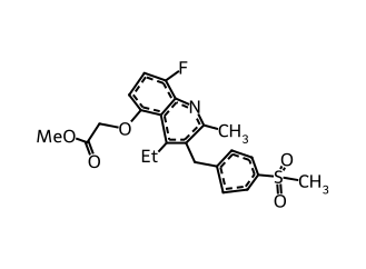 CCc1c(Cc2ccc(S(C)(=O)=O)cc2)c(C)nc2c(F)ccc(OCC(=O)OC)c12